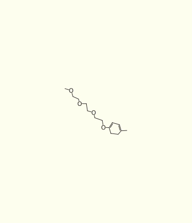 COCCOCCOCCOC1=CC=C(C)CC1